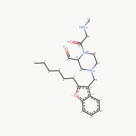 CCCCCCc1oc2ccccc2c1CN1CCN(C(=O)CNC)C(C=O)C1